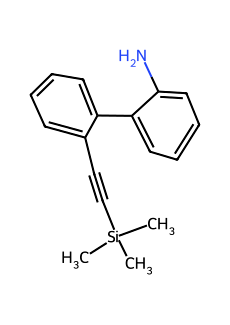 C[Si](C)(C)C#Cc1ccccc1-c1ccccc1N